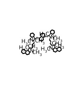 CN1/C(=C/C=C/C2=[N+](C)c3ccccc3C2(C)Cc2cccc3c(CC4(C)C(/C=C/C=C5/N(C)c6ccc7ccccc7c6C5(C)C)=[N+](C)c5ccccc54)cccc23)C(C)(C)c2c1ccc1ccccc21